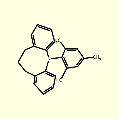 Cc1cc(C)c(N2c3ccccc3CCCc3ccccc32)c(C)c1